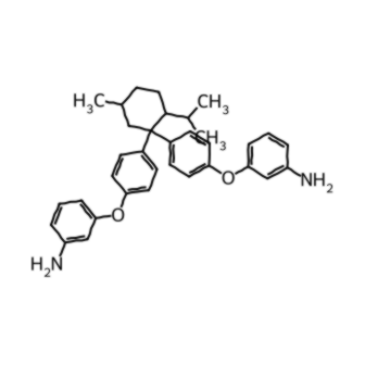 CC1CCC(C(C)C)C(c2ccc(Oc3cccc(N)c3)cc2)(c2ccc(Oc3cccc(N)c3)cc2)C1